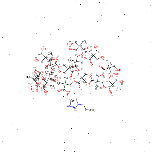 CCCn1cc(COC(=O)C(C)(COC(=O)C(C)(COC(=O)C(C)(COC(=O)C(C)(CO)CO)COC(=O)C(C)(CO)CO)COC(=O)C(C)(COC(=O)C(C)(CO)CO)COC(=O)C(C)(CO)CO)COC(=O)C(C)(COC(=O)C(C)(COC(=O)C(C)(CO)CO)COC(=O)C(C)(CO)CO)COC(=O)C(C)(COC(=O)C(C)(CO)CO)COC(=O)C(C)(CO)CO)nn1